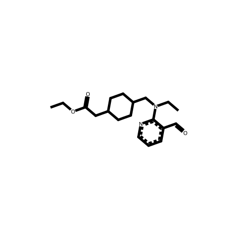 CCOC(=O)CC1CCC(CN(CC)c2ncccc2C=O)CC1